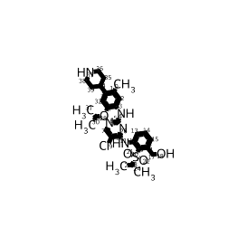 Cc1cc(Nc2ncc(Cl)c(Nc3cccc(CO)c3S(=O)(=O)C(C)C)n2)c(OC(C)C)cc1C1CCNCC1